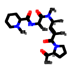 COC(=O)[C@@H]1CCCN1C(=O)/C(C)=C/[C@H](C(C)C)N(C)C(=O)C(NC(=O)C1CCCCN1C)C(C)(C)C